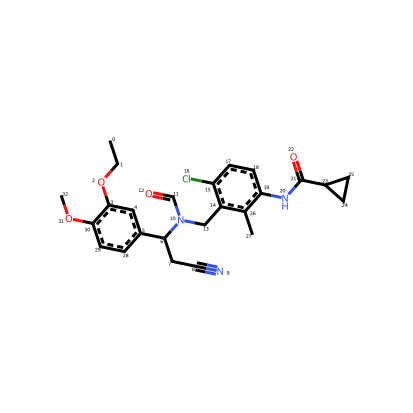 CCOc1cc(C(CC#N)N(C=O)Cc2c(Cl)ccc(NC(=O)C3CC3)c2C)ccc1OC